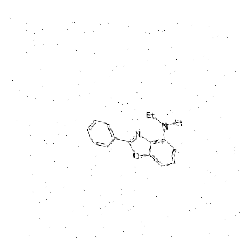 CCN(CC)c1cccc2oc(-c3ccccc3)nc12